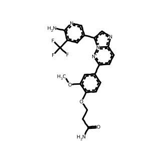 COc1cc(-c2ccc3ncc(-c4cnc(N)c(C(F)(F)F)c4)n3n2)ccc1OCCC(N)=O